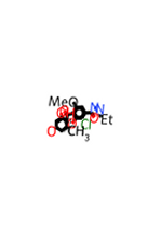 CCc1nnc(-c2cc(OC)c3c(c2Cl)O[C@]2(C3=O)C(O)=CC(=O)C[C@H]2C)o1